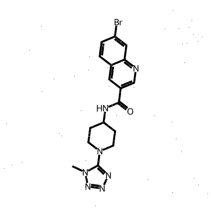 Cn1nnnc1N1CCC(NC(=O)c2cnc3cc(Br)ccc3c2)CC1